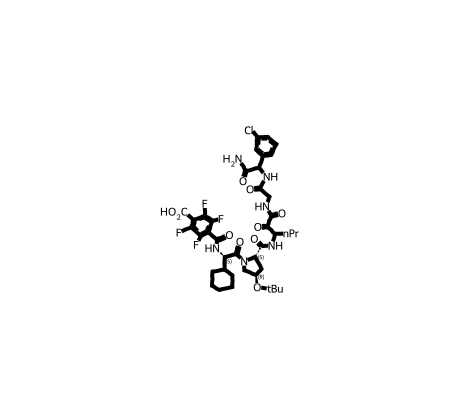 CCCC(NC(=O)[C@@H]1C[C@@H](OC(C)(C)C)CN1C(=O)[C@@H](NC(=O)c1c(F)c(F)c(C(=O)O)c(F)c1F)C1CCCCC1)C(=O)C(=O)NCC(=O)NC(C(N)=O)c1cccc(Cl)c1